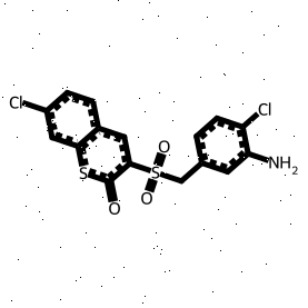 Nc1cc(CS(=O)(=O)c2cc3ccc(Cl)cc3sc2=O)ccc1Cl